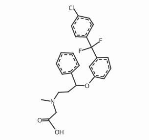 CN(CCC(Oc1cccc(C(F)(F)c2ccc(Cl)cc2)c1)c1ccccc1)CC(=O)O